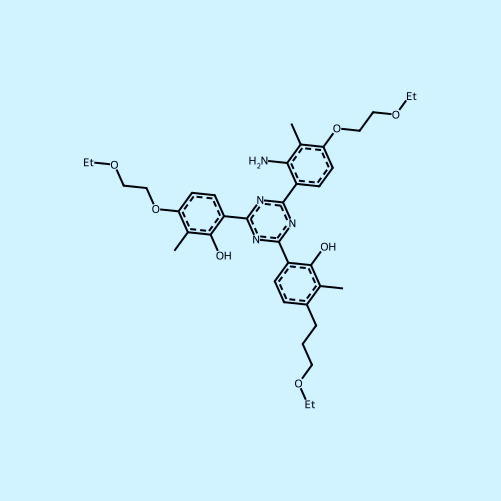 CCOCCCc1ccc(-c2nc(-c3ccc(OCCOCC)c(C)c3N)nc(-c3ccc(OCCOCC)c(C)c3O)n2)c(O)c1C